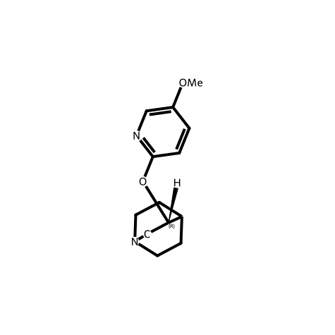 COc1ccc(O[C@H]2CN3CCC2CC3)nc1